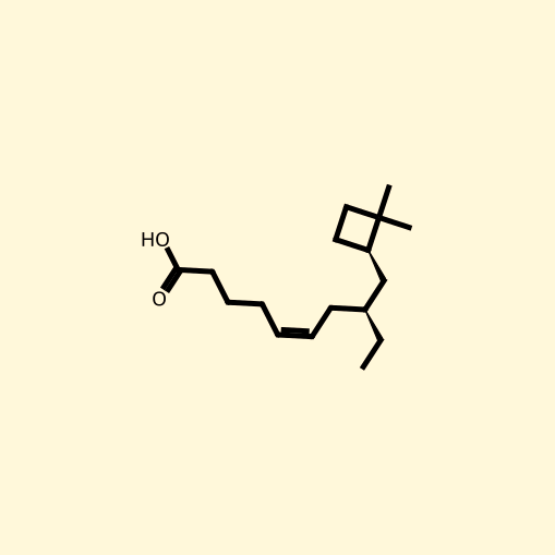 CC[C@@H](C/C=C\CCCC(=O)O)C[C@H]1CCC1(C)C